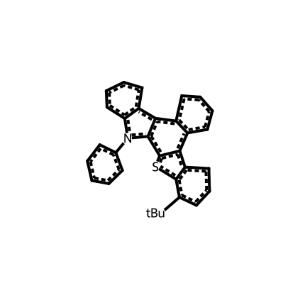 CC(C)(C)c1cccc2c1sc1c2c2ccccc2c2c3ccccc3n(-c3ccccc3)c12